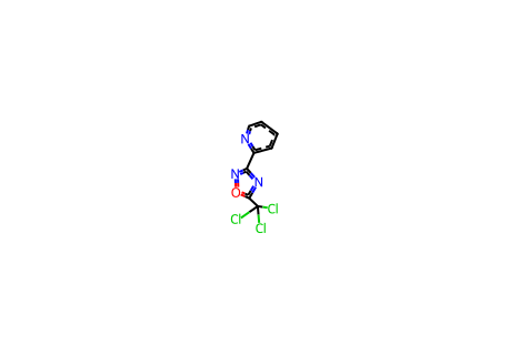 ClC(Cl)(Cl)c1nc(-c2ccccn2)no1